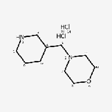 C1CNCC(CN2CCOCC2)C1.Cl.Cl